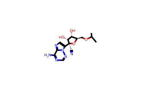 CC(C)OC[C@H]1O[C@@](C#N)(c2cnc3c(N)ncnn23)[C@H](O)[C@@H]1O